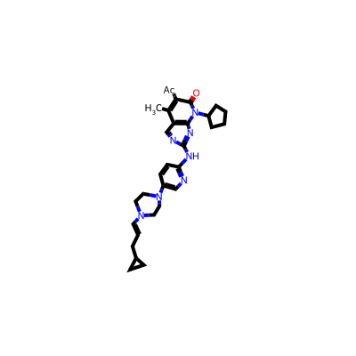 CC(=O)c1c(C)c2cnc(Nc3ccc(N4CCN(/C=C/CC5CC5)CC4)cn3)nc2n(C2CCCC2)c1=O